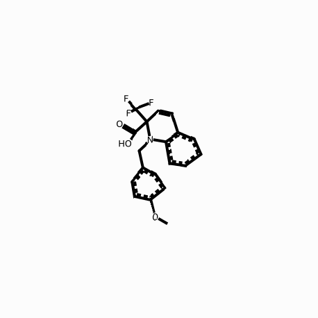 COc1ccc(CN2c3ccccc3C=CC2(C(=O)O)C(F)(F)F)cc1